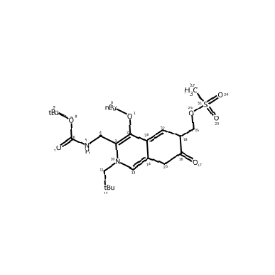 CCCCOC1=C(CNC(=O)OC(C)(C)C)N(CC(C)(C)C)C=C2CC(=O)C(COS(C)(=O)=O)C=C21